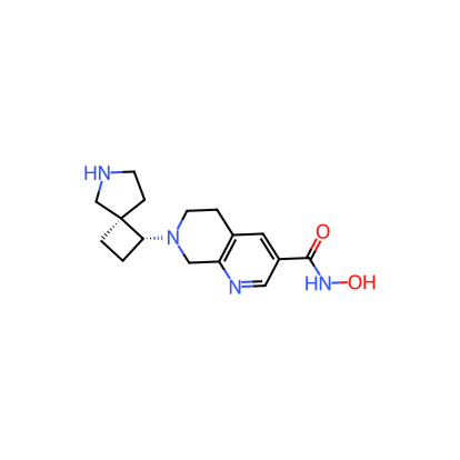 O=C(NO)c1cnc2c(c1)CCN([C@@H]1CC[C@]13CCNC3)C2